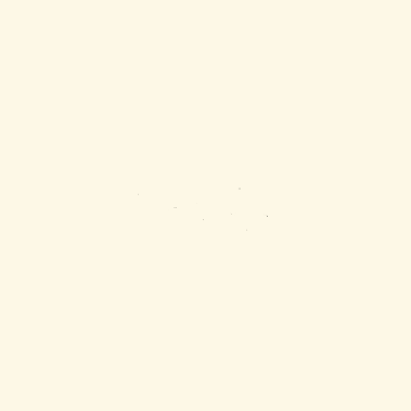 CCC(=O)C(=O)Oc1cncs1